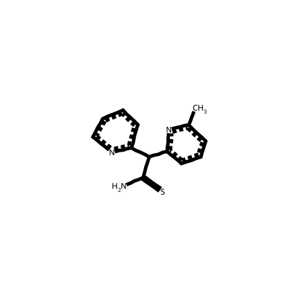 Cc1cccc(C(C(N)=S)c2ccccn2)n1